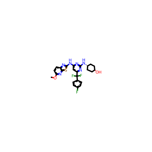 COc1ccc2nc(Nc3cc(C(F)(F)c4ccc(F)cc4)nc(N[C@H]4CC[C@H](O)CC4)n3)sc2n1